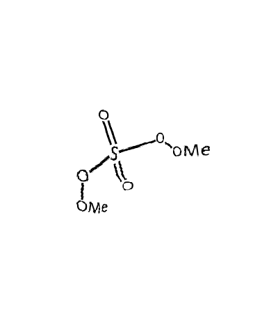 COOS(=O)(=O)OOC